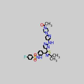 CC(=O)N1CCN(c2ccc(Nc3nccc(-c4sc(C(C)C)nc4-c4cccc(NS(=O)(=O)c5ccc(F)cc5)c4)n3)cn2)CC1